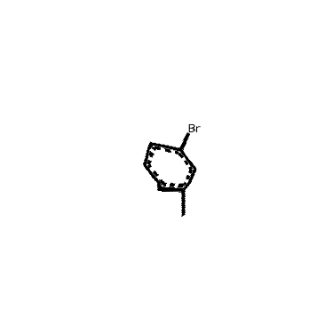 Cc1c[c]cc(Br)c1